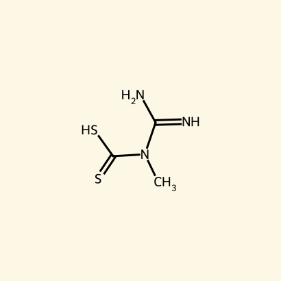 CN(C(=N)N)C(=S)S